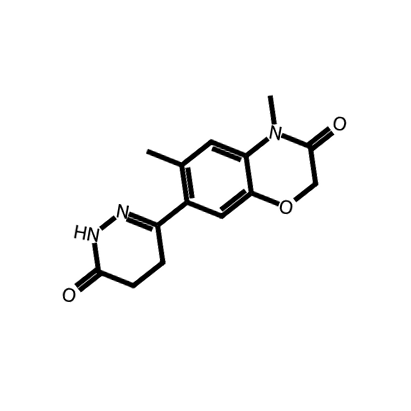 Cc1cc2c(cc1C1=NNC(=O)CC1)OCC(=O)N2C